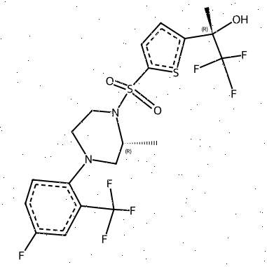 C[C@@H]1CN(c2ccc(F)cc2C(F)(F)F)CCN1S(=O)(=O)c1ccc([C@](C)(O)C(F)(F)F)s1